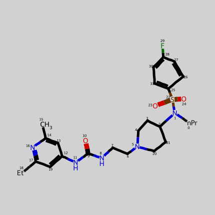 CCCN(C1CCN(CCNC(=O)Nc2cc(C)nc(CC)c2)CC1)S(=O)(=O)c1ccc(F)cc1